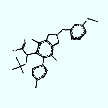 COc1cccc(CN2Cc3c(C)c(-c4ccc(C)cc4)c(C(OC(C)(C)C)C(=O)O)c(C)c3C2)c1